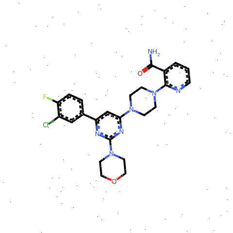 NC(=O)c1cccnc1N1CCN(c2cc(-c3ccc(F)c(Cl)c3)nc(N3CCOCC3)n2)CC1